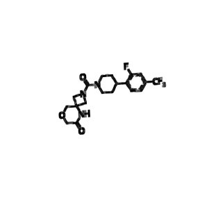 O=C1COCC2(CN(C(=O)N3CCC(c4ccc(C(F)(F)F)cc4F)CC3)C2)N1